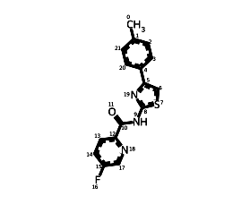 Cc1ccc(-c2csc(NC(=O)c3ccc(F)cn3)n2)cc1